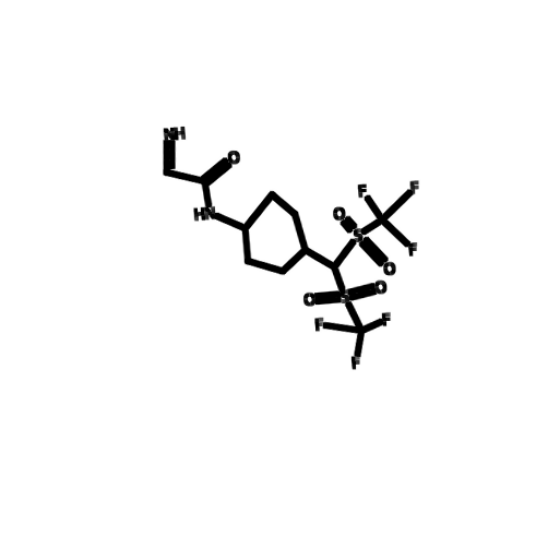 N=CC(=O)NC1CCC(C(S(=O)(=O)C(F)(F)F)S(=O)(=O)C(F)(F)F)CC1